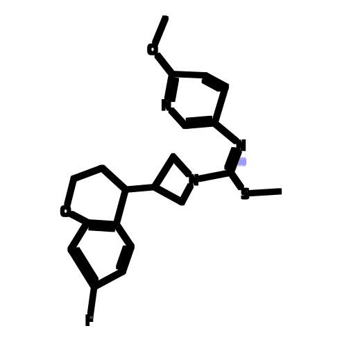 COc1ccc(/N=C(/SC)N2CC(C3CCOc4cc(F)ccc43)C2)cn1